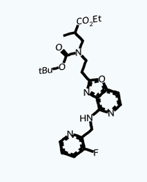 CCOC(=O)C(C)CN(CCc1nc2c(NCc3ncccc3F)nccc2o1)C(=O)OC(C)(C)C